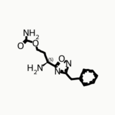 NC(=O)OCC[C@H](N)c1nc(Cc2ccccc2)no1